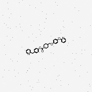 O=C(Oc1ccc(Cc2ccccn2)cc1)N1CCC(COc2ccc(Oc3ccccn3)cc2)CC1